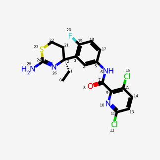 CC[C@@]1(c2cc(NC(=O)c3nc(Cl)ccc3Cl)ccc2F)CCSC(N)=N1